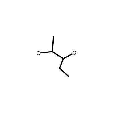 CCC([O])C(C)[O]